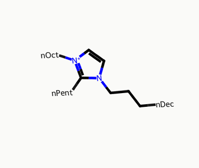 CCCCCCCCCCCCCn1cc[n+](CCCCCCCC)c1CCCCC